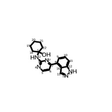 OC1(Nc2nccc(-c3cccc4[nH]ncc34)n2)CCCCC1